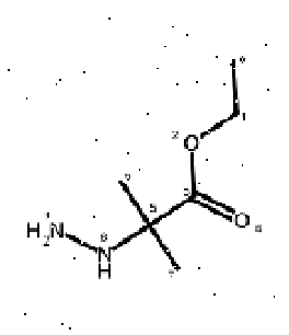 CCOC(=O)C(C)(C)NN